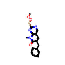 COOSc1ncc2cc(Cc3ccccc3)c(=O)n(C)c2n1